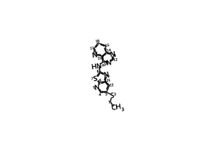 CCSc1cnc2sc(Nc3ncnc4cccnc34)nc2c1